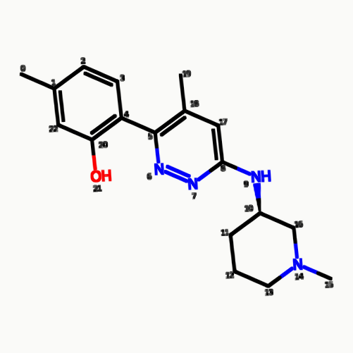 Cc1ccc(-c2nnc(N[C@@H]3CCCN(C)C3)cc2C)c(O)c1